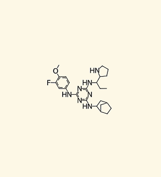 CCC(Nc1nc(Nc2ccc(OC)c(F)c2)nc(NC2CC3CCC2C3)n1)C1CCCN1